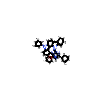 c1ccc(-c2nc(-c3ccccc3)nc(-n3c4ccccc4c4ccc5c(c6c7c(ccc6n5-c5ccccc5)oc5ccccc57)c43)n2)cc1